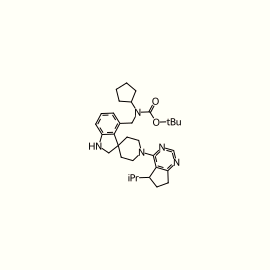 CC(C)C1CCc2ncnc(N3CCC4(CC3)CNc3cccc(CN(C(=O)OC(C)(C)C)C5CCCC5)c34)c21